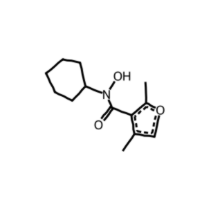 Cc1coc(C)c1C(=O)N(O)C1CCCCC1